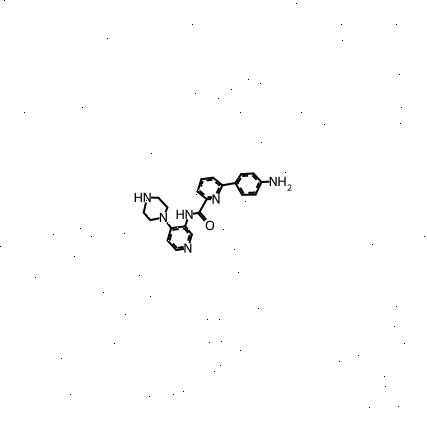 Nc1ccc(-c2cccc(C(=O)Nc3cnccc3N3CCNCC3)n2)cc1